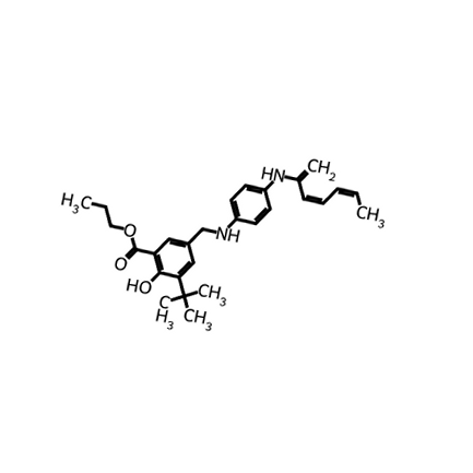 C=C(/C=C\C=C/C)Nc1ccc(NCc2cc(C(=O)OCCC)c(O)c(C(C)(C)C)c2)cc1